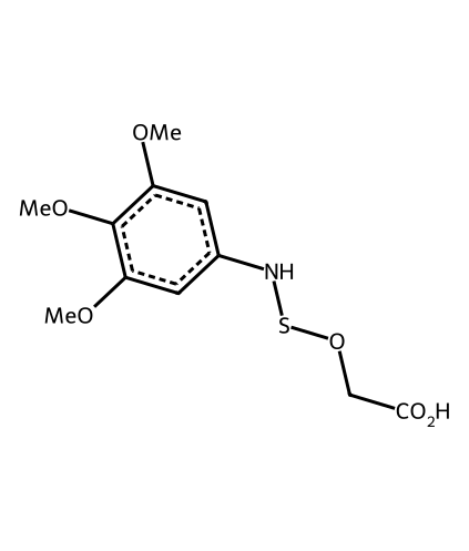 COc1cc(NSOCC(=O)O)cc(OC)c1OC